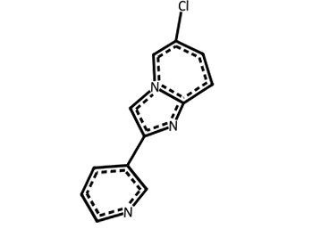 Clc1ccc2nc(-c3cccnc3)cn2c1